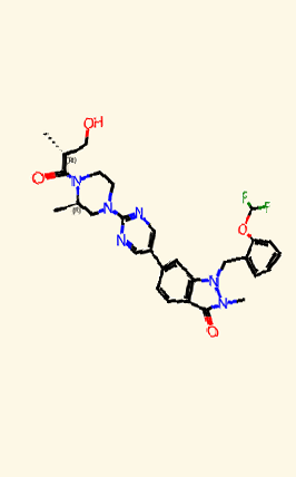 C[C@H](CO)C(=O)N1CCN(c2ncc(-c3ccc4c(=O)n(C)n(Cc5ccccc5OC(F)F)c4c3)cn2)C[C@H]1C